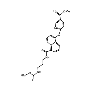 COC(=O)c1ccc(Oc2cccc3c(C(=O)NCCCNC(=O)OC(C)(C)C)cccc23)nc1